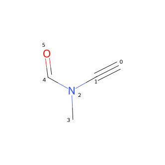 C#CN(C)C=O